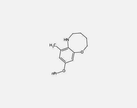 CCCOc1cc(C)c2c(c1)OCCCCN2